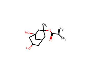 C=C(C)C(=O)OC1(C)CC2CC(O)CC(O)(C2)C1